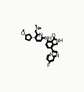 CO[C@@H]1CC[C@@H](c2ccc(Nc3ccc(-c4cnc5cc(F)ccn45)c4c3C(=O)NC4)nc2CN(C)C)C1